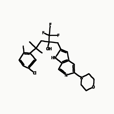 Cc1ccc(Cl)cc1C(C)(C)CC(O)(Cc1cc2cc(N3CCOCC3)ncc2[nH]1)C(F)(F)F